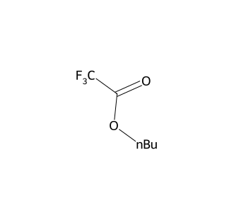 [CH2]CCCOC(=O)C(F)(F)F